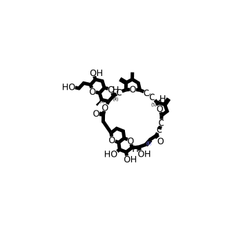 C=C1C(C)CC2CC[C@@H]3OC(CCC(=O)/C=C/C(O)[C@@H]4OC5CCC(CC(=O)OC6[C@@H](C)C7OC(CCO)C(O)CC7O[C@@H]6CC1O2)OC5C(O)C4O)CC3=C